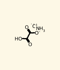 N.O=C([O-])C(=O)O.[C+]